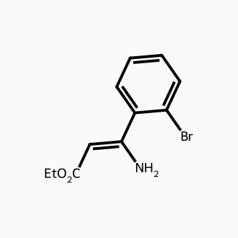 CCOC(=O)C=C(N)c1ccccc1Br